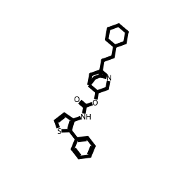 O=C(Nc1ccsc1-c1ccccc1)OC1CN2CCC1CC2CCC1CCCCC1